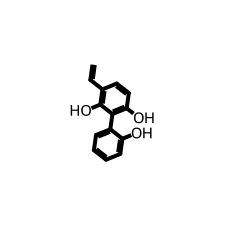 C=Cc1ccc(O)c(-c2ccccc2O)c1O